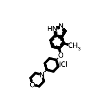 Cc1c(O[C@H]2CC[C@@H](N3CCOCC3)CC2)ccc2[nH]ncc12.Cl